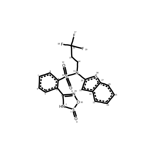 O=S1NC(c2ccccc2S(=O)(=O)N(CCC(F)(F)F)c2cc3ccccc3s2)=NO1